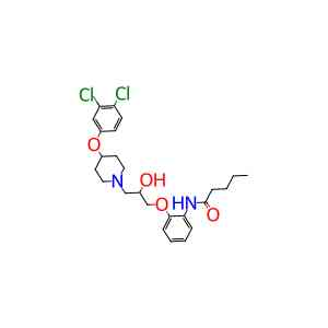 CCCCC(=O)Nc1ccccc1OCC(O)CN1CCC(Oc2ccc(Cl)c(Cl)c2)CC1